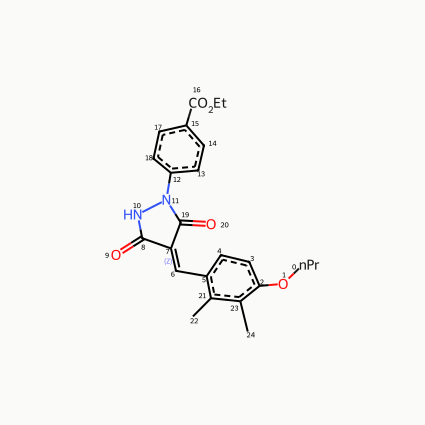 CCCOc1ccc(/C=C2/C(=O)NN(c3ccc(C(=O)OCC)cc3)C2=O)c(C)c1C